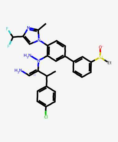 CC[S+]([O-])c1cccc(-c2ccc(-n3cc(C(F)F)nc3C)c(N(N)/C(=C\N)C(C)c3ccc(Cl)cc3)c2)c1